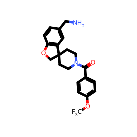 NCc1ccc2c(c1)C1(CCN(C(=O)c3ccc(OC(F)(F)F)cc3)CC1)CO2